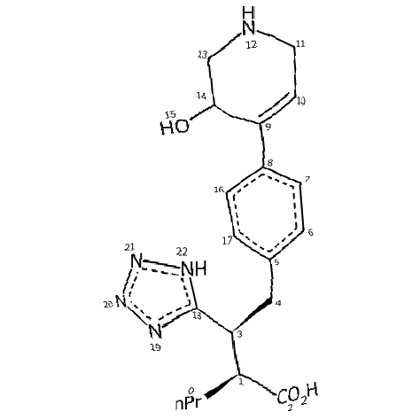 CCC[C@H](C(=O)O)[C@H](Cc1ccc(C2=CCNCC2O)cc1)c1nnn[nH]1